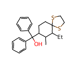 CCC1C(C)C(C(O)(c2ccccc2)c2ccccc2)CCC12SCCS2